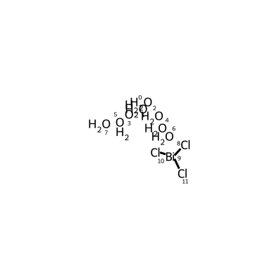 O.O.O.O.O.O.O.O.[Cl][Bi]([Cl])[Cl]